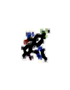 Cc1cn(-c2cc(C(F)(F)F)cc(C(N)=O)c2-c2ccc(C)c(I)c2)cn1